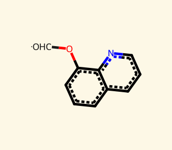 O=[C]Oc1cccc2cccnc12